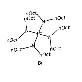 CCCCCCCCN(CCCCCCCC)[P+](N(CCCCCCCC)CCCCCCCC)(N(CCCCCCCC)CCCCCCCC)N(CCCCCCCC)CCCCCCCC.[Br-]